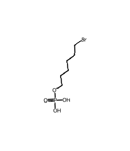 O=P(O)(O)OCCCCCCBr